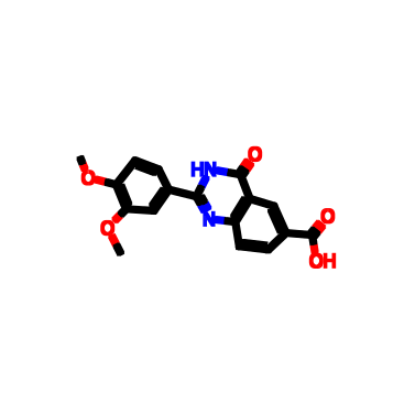 COc1ccc(-c2nc3ccc(C(=O)O)cc3c(=O)[nH]2)cc1OC